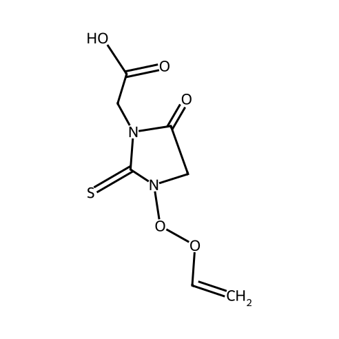 C=COON1CC(=O)N(CC(=O)O)C1=S